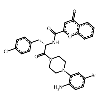 Nc1ccc(Br)cc1N1CCN(C(=O)[C@H](Cc2ccc(Cl)cc2)NC(=O)c2cc(=O)c3ccccc3o2)CC1